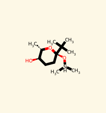 C[C@@H]1O[C@](O[SiH](C)C)(C(C)(C)C)CC[C@H]1O